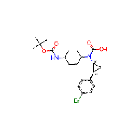 CC(C)(C)OC(=O)NC1CCC(N(C(=O)O)[C@@H]2C[C@H]2c2ccc(Br)cc2)CC1